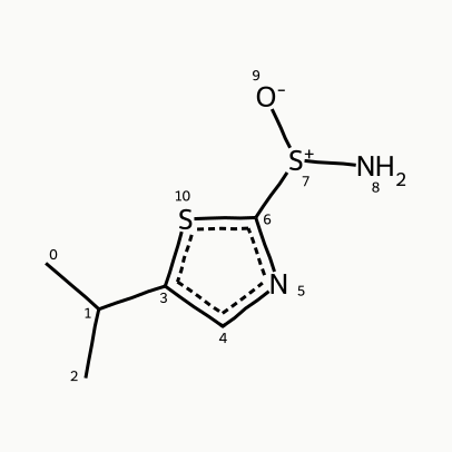 CC(C)c1cnc([S+](N)[O-])s1